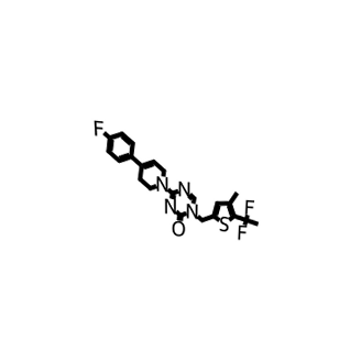 Cc1cc(Cn2cnc(N3CC=C(c4ccc(F)cc4)CC3)nc2=O)sc1C(C)(F)F